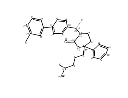 CC(=O)N(C)CCC[C@]1(c2ccccc2)CCN([C@@H](C)c2ccc(-c3ccnc(C)c3)cc2)C(=O)O1